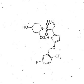 C=CC(c1ccc(OCc2cc(F)ccc2C(F)(F)F)s1)S(=O)(=O)N1CCC(O)CC1C(=O)O